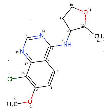 COc1ccc2c(NC3CCOC3C)ncnc2c1Cl